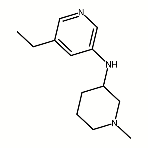 CCc1cncc(NC2CCCN(C)C2)c1